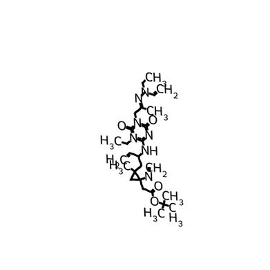 C=CC(CC1(C)CC1(CC(=O)OC(C)(C)C)N=C)Nc1nc(=O)n(C/C(C)=N/N(C=C)CC)c(=O)n1CC